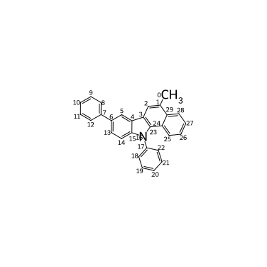 Cc1cc2c3cc(-c4ccccc4)ccc3n(-c3ccccc3)c2c2ccccc12